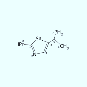 CC(C)c1ncc(C(C)P)s1